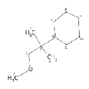 COCC(C)(C)C1CCCCC1